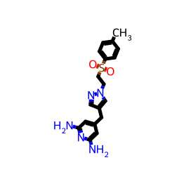 Cc1ccc(S(=O)(=O)CCn2cc(Cc3cc(N)nc(N)c3)cn2)cc1